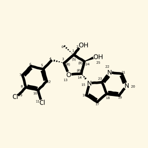 C[C@@]1(O)[C@@H](Cc2ccc(Cl)c(Cl)c2)O[C@@H](n2ccc3cncnc32)[C@@H]1O